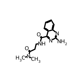 CN(C)C(=O)CCNC(=O)c1nc(N)nc2ccccc12